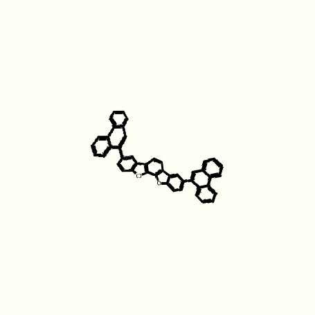 c1ccc2c(c1)cc(-c1ccc3oc4c(ccc5c6cc(-c7cc8ccccc8c8ccccc78)ccc6oc54)c3c1)c1ccccc12